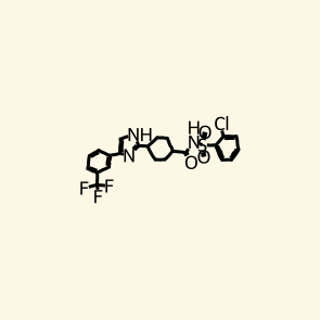 O=C(NS(=O)(=O)c1ccccc1Cl)C1CCC(c2nc(-c3cccc(C(F)(F)F)c3)c[nH]2)CC1